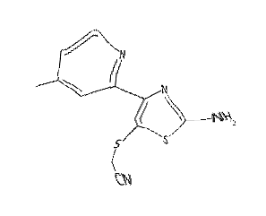 Cc1ccnc(-c2nc(N)sc2SC#N)c1